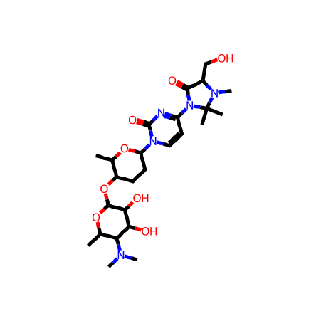 CC1OC(n2ccc(N3C(=O)C(CO)N(C)C3(C)C)nc2=O)CCC1OC1OC(C)C(N(C)C)C(O)C1O